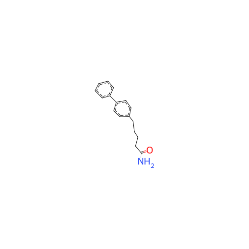 NC(=O)CCCCc1ccc(-c2ccccc2)cc1